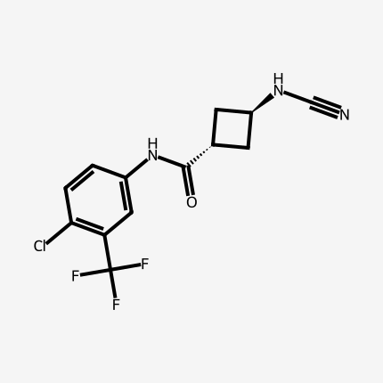 N#CN[C@H]1C[C@H](C(=O)Nc2ccc(Cl)c(C(F)(F)F)c2)C1